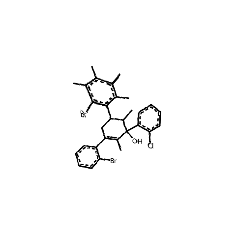 CC1=C(c2ccccc2Br)CC(c2c(C)c(C)c(C)c(C)c2Br)C(C)C1(O)c1ccccc1Cl